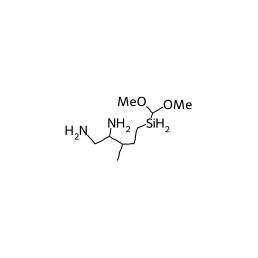 COC(OC)[SiH2]CCC(C)C(N)CN